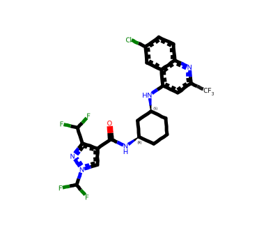 O=C(N[C@@H]1CCC[C@H](Nc2cc(C(F)(F)F)nc3ccc(Cl)cc23)C1)c1cn(C(F)F)nc1C(F)F